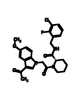 COc1ccc2c(c1)c(C(C)=O)cn2CC(=O)N1CCCC[C@H]1C(=O)NCc1cccc(Cl)c1F